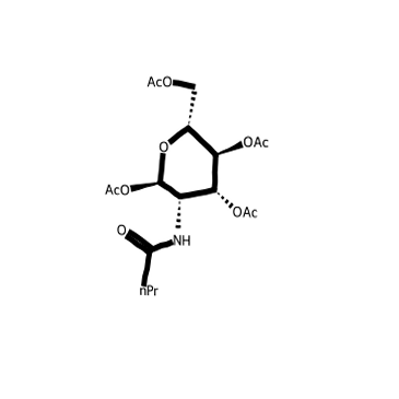 CCCC(=O)N[C@@H]1[C@@H](OC(C)=O)O[C@H](COC(C)=O)[C@@H](OC(C)=O)[C@@H]1OC(C)=O